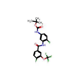 CC(C)(C)OC(=O)Nc1ccc(F)c(NC(=O)c2ccc(F)c(OC(F)(F)F)c2)c1